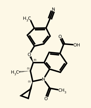 CC(=O)N1c2ccc(C(=O)O)cc2[C@H](Oc2ccc(C#N)c(C)c2)[C@@H](C)[C@@H]1C1CC1